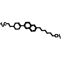 CCCCCCCc1ccc2cc(C3=CCC(CCC)CC3)ccc2c1